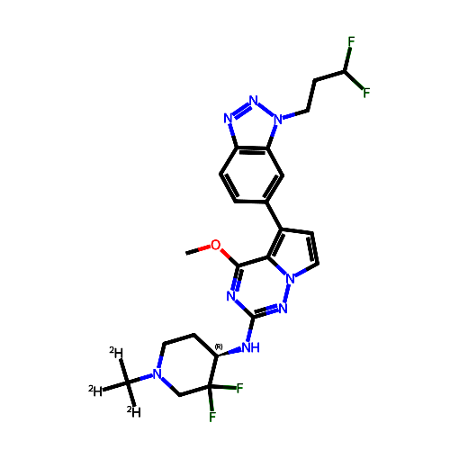 [2H]C([2H])([2H])N1CC[C@@H](Nc2nc(OC)c3c(-c4ccc5nnn(CCC(F)F)c5c4)ccn3n2)C(F)(F)C1